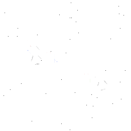 O=c1ccc2c(C(O)CNCCCCCCOCC(F)(F)c3ccccc3)cccc2[nH]1